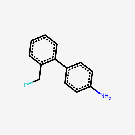 Nc1ccc(-c2ccccc2CF)cc1